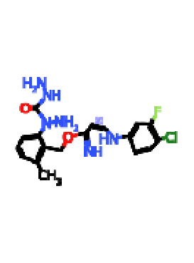 Cc1cccc(N(N)C(=O)NN)c1COC(=N)/C=C\Nc1ccc(Cl)c(F)c1